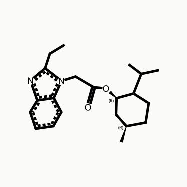 CCc1nc2ccccc2n1CC(=O)O[C@@H]1C[C@H](C)CCC1C(C)C